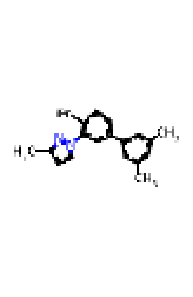 Cc1cc(C)cc(-c2ccc(C(C)C)c(-n3ccc(C)n3)c2)c1